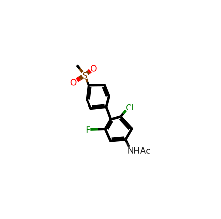 CC(=O)Nc1cc(F)c(-c2ccc(S(C)(=O)=O)cc2)c(Cl)c1